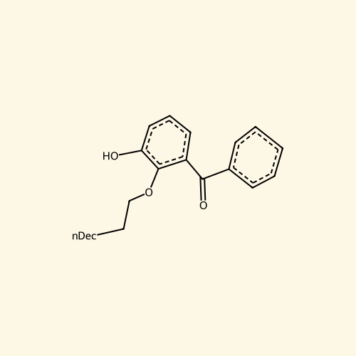 CCCCCCCCCCCCOc1c(O)cccc1C(=O)c1ccccc1